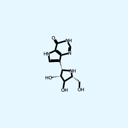 O=c1[nH]cnc2c([C@@H]3N[C@H](CO)C(O)[C@@H]3O)c[nH]c12